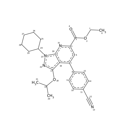 CCOC(=O)c1cc(-c2ccc(C#N)cc2)c2c(OC(C)C)nn(C3CCCCC3)c2n1